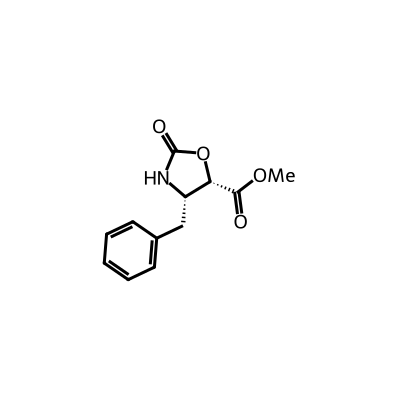 COC(=O)[C@H]1OC(=O)N[C@H]1Cc1ccccc1